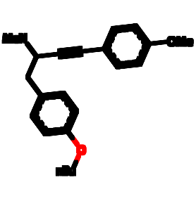 CCCCOc1ccc(CC(C#Cc2ccc(OC)cc2)NC)cc1